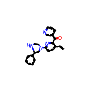 C=Cc1ccc(N2CCNC(c3ccccc3)C2)nc1C(=O)c1cccnc1